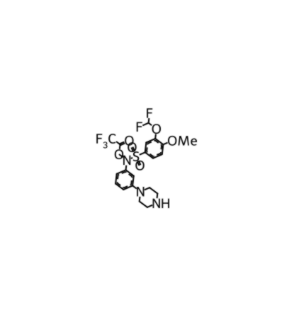 COc1ccc(S(=O)(=O)N(OC(=O)C(F)(F)F)c2cccc(N3CCNCC3)c2)cc1OC(F)F